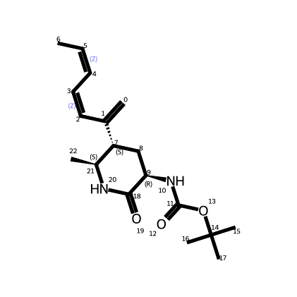 C=C(/C=C\C=C/C)[C@@H]1C[C@@H](NC(=O)OC(C)(C)C)C(=O)N[C@H]1C